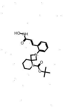 CC(C)(C)OC(=O)N1CCCCC12CN(c1ccccc1/C=C/C(=O)NO)C2